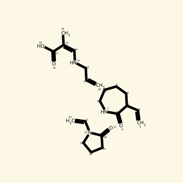 C=CC1CCCCNC1=O.C=CCNC=C(C)C(=O)O.C=CN1CCCC1=O